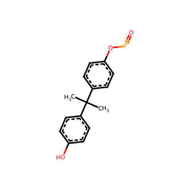 CC(C)(c1ccc(O)cc1)c1ccc(OP=O)cc1